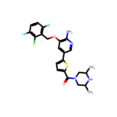 CC1CN(C(=O)c2ccc(-c3cnc(N)c(OCc4c(F)ccc(F)c4Cl)c3)s2)CC(C)N1